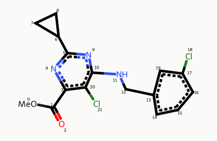 COC(=O)c1nc(C2CC2)nc(NCc2cccc(Cl)c2)c1Cl